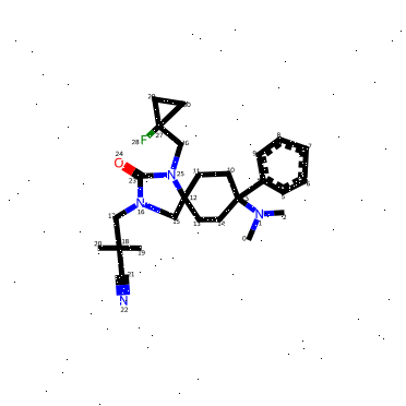 CN(C)C1(c2ccccc2)CCC2(CC1)CN(CC(C)(C)C#N)C(=O)N2CC1(F)CC1